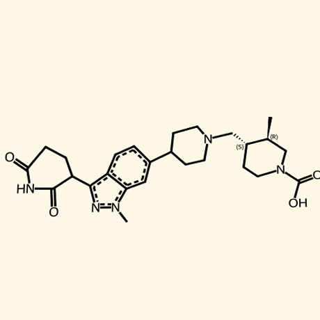 C[C@H]1CN(C(=O)O)CC[C@@H]1CN1CCC(c2ccc3c(C4CCC(=O)NC4=O)nn(C)c3c2)CC1